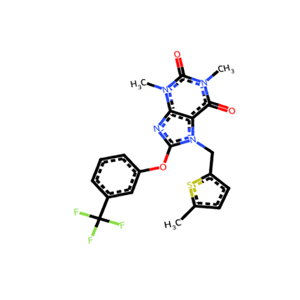 Cc1ccc(Cn2c(Oc3cccc(C(F)(F)F)c3)nc3c2c(=O)n(C)c(=O)n3C)s1